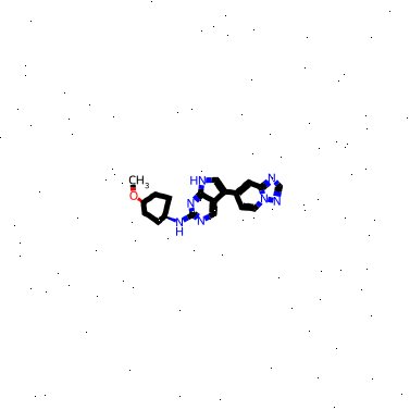 CO[C@H]1CC[C@@H](Nc2ncc3c(-c4ccn5ncnc5c4)c[nH]c3n2)CC1